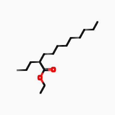 CCCCCCCCCC(CCC)C(=O)OCC